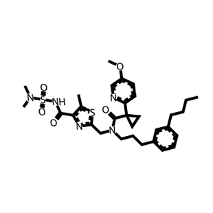 CCCCc1cccc(CCCN(Cc2nc(C(=O)NS(=O)(=O)N(C)C)c(C)s2)C(=O)C2(c3ccc(OC)cn3)CC2)c1